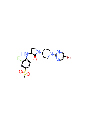 CS(=O)(=O)c1ccc(NC2CCN(C3CCN(c4ncc(Br)cn4)CC3)C2=O)c(F)c1